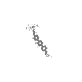 C=CCC1CC=C(c2ccc(-c3ccc(CC=COC(C)(C)C)cc3)c(F)c2F)CC1